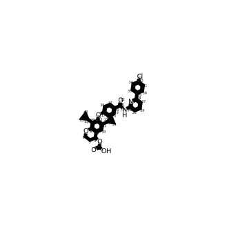 O=C(O)OC1CCOc2c1cc(C1CC1)c(Oc1ccc(C(=O)Nc3cccc(-c4ccc(Cl)cc4)n3)cc1)c2C1CC1